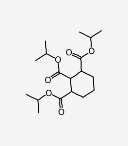 CC(C)OC(=O)C1CCCC(C(=O)OC(C)C)C1C(=O)OC(C)C